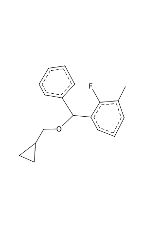 Cc1cccc(C(OCC2CC2)c2ccccc2)c1F